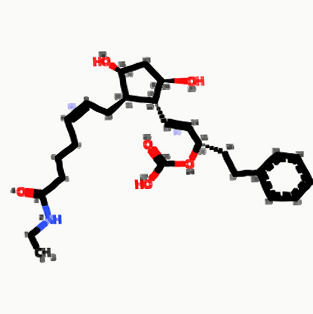 CCNC(=O)CCC/C=C\C[C@@H]1[C@@H](/C=C/[C@H](CCc2ccccc2)OC(=O)O)[C@H](O)C[C@@H]1O